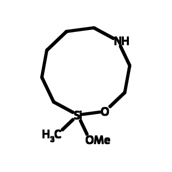 CO[Si]1(C)CCCCCNCCO1